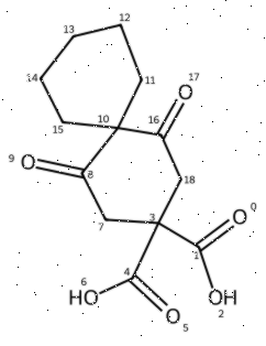 O=C(O)C1(C(=O)O)CC(=O)C2(CCCCC2)C(=O)C1